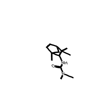 CN(C)C(=O)NC1C2(C)CCC(C2)C1(C)C